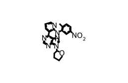 Cc1ccc([N+](=O)[O-])cc1Nc1ncccc1-c1ncnc2c1ncn2C1CCCCO1